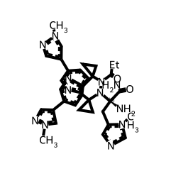 CCC(=O)N(N(C1(c2ccc(-c3cnn(C)c3)cn2)CC1)[C@@](N)(Cc1cncn1C)C(N)=O)C1(c2ccc(-c3cnn(C)c3)cn2)CC1